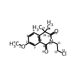 COc1ccc2c(c1)C(=O)N(CCCl)C(=O)C2(C)C